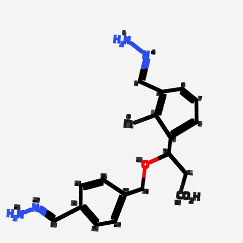 CCc1c(C=NN)cccc1C(CC(=O)O)OCc1ccc(C=NN)cc1